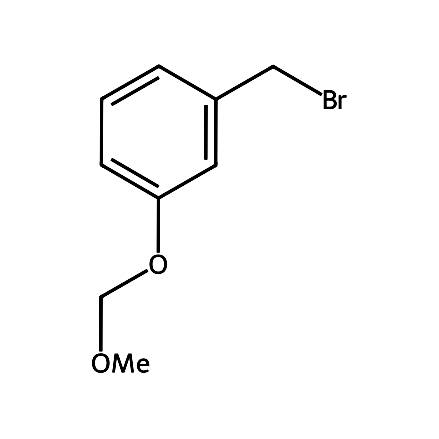 COCOc1cccc(CBr)c1